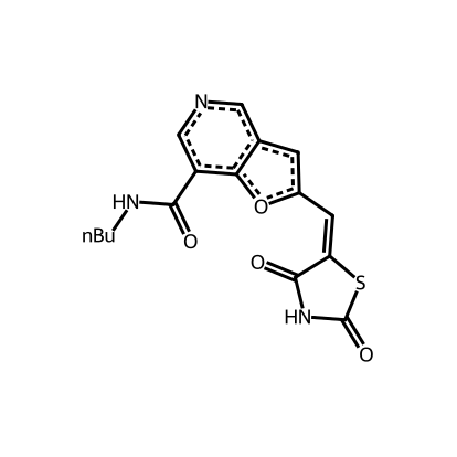 CCCCNC(=O)c1cncc2cc(C=C3SC(=O)NC3=O)oc12